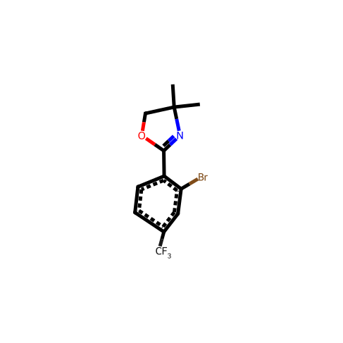 CC1(C)COC(c2ccc(C(F)(F)F)cc2Br)=N1